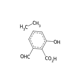 CC.O=Cc1cccc(O)c1C(=O)O